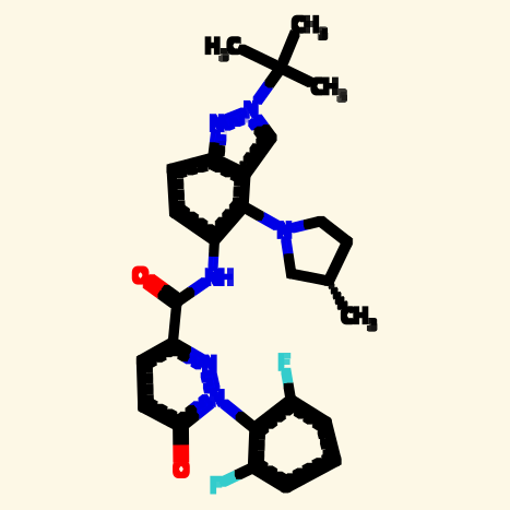 C[C@H]1CCN(c2c(NC(=O)c3ccc(=O)n(-c4c(F)cccc4F)n3)ccc3nn(C(C)(C)C)cc23)C1